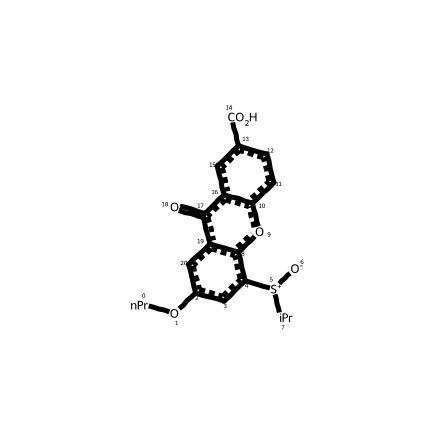 CCCOc1cc([S+]([O-])C(C)C)c2oc3ccc(C(=O)O)cc3c(=O)c2c1